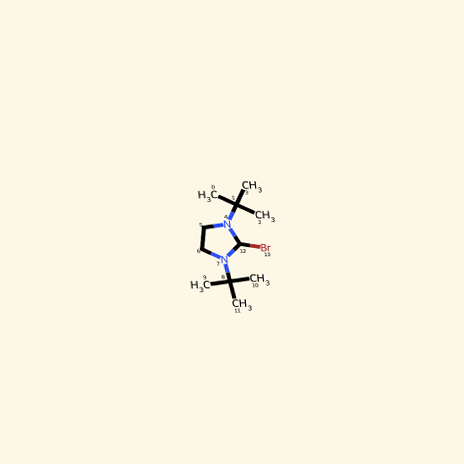 CC(C)(C)N1CCN(C(C)(C)C)C1Br